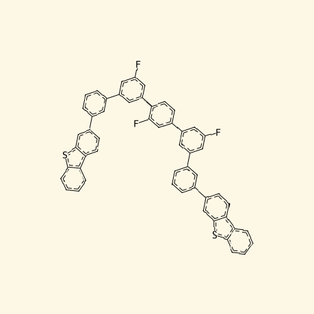 Fc1cc(-c2cccc(-c3ccc4c(c3)sc3ccccc34)c2)cc(-c2ccc(-c3cc(F)cc(-c4cccc(-c5ccc6c(c5)sc5ccccc56)c4)c3)c(F)c2)c1